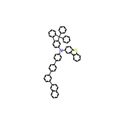 c1ccc(C2(c3ccccc3)c3ccccc3-c3ccc(N(c4ccc(-c5ccc(-c6cccc(-c7ccc8ccccc8c7)c6)cc5)cc4)c4ccc5sc6ccccc6c5c4)cc32)cc1